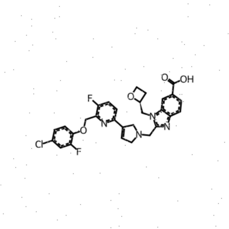 O=C(O)c1ccc2nc(CN3CC=C(c4ccc(F)c(COc5ccc(Cl)cc5F)n4)C3)n(C[C@@H]3CCO3)c2c1